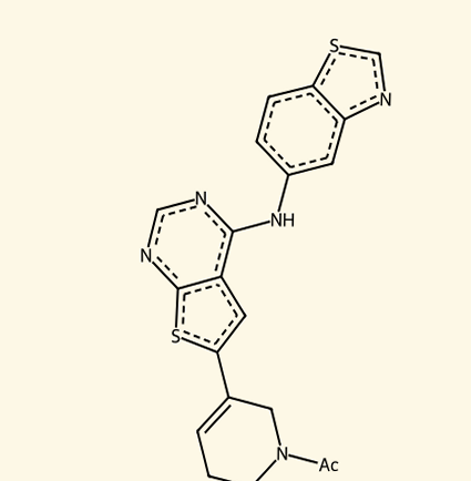 CC(=O)N1CCC=C(c2cc3c(Nc4ccc5scnc5c4)ncnc3s2)C1